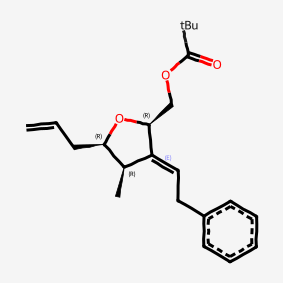 C=CC[C@H]1O[C@@H](COC(=O)C(C)(C)C)/C(=C/Cc2ccccc2)[C@H]1C